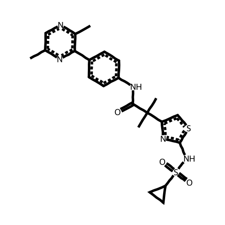 Cc1cnc(C)c(-c2ccc(NC(=O)C(C)(C)c3csc(NS(=O)(=O)C4CC4)n3)cc2)n1